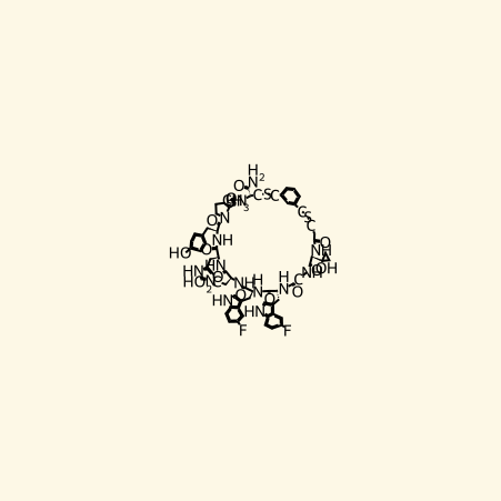 C[C@@]12CCCN1C(=O)[C@H](Cc1ccc(O)cc1)NC(=O)[C@H](Cc1cnc[nH]1)NC(=O)[C@H](CC(=O)O)NC(=O)[C@H](Cc1c[nH]c3ccc(F)cc13)NC(=O)[C@@H](Cc1c[nH]c3ccc(F)cc13)NC(=O)CNC(=O)[C@H](C1(O)CC1)NC(=O)CCSCc1cccc(c1)CSC[C@@H](C(N)=O)NC2=O